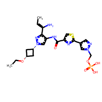 C/C=C(\N)c1nn([C@H]2C[C@@H](OCC)C2)cc1NC(=O)c1csc(-c2cnn(COP(=O)(O)O)c2)n1